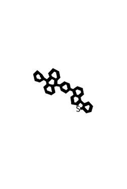 c1ccc(-c2c3ccccc3c(-c3ccc(-c4cccc5c4ccc4sc6ccccc6c45)cc3)c3ccccc23)cc1